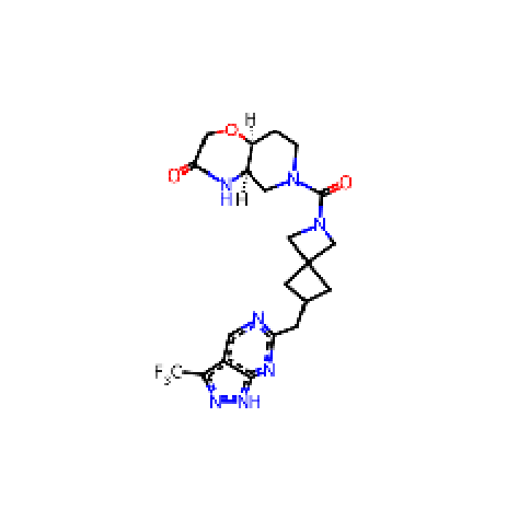 O=C1CO[C@H]2CCN(C(=O)N3CC4(CC(Cc5ncc6c(C(F)(F)F)n[nH]c6n5)C4)C3)C[C@H]2N1